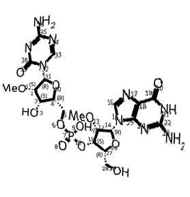 CO[C@H]1[C@@H](O)[C@@H](COP(=O)(O)O[C@@H]2[C@H](OC)[C@H](n3cnc4c(=O)[nH]c(N)nc43)O[C@@H]2CO)O[C@H]1n1cnc(N)nc1=O